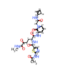 CNC(=O)C(=O)CC[C@H](NC(=O)c1cnc(NC(C)=O)s1)C(=O)Nc1cccn(CC(=O)NC23CC(C2)C3)c1=O